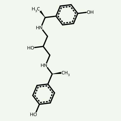 C[C@H](NCC(O)CN[C@@H](C)c1ccc(O)cc1)c1ccc(O)cc1